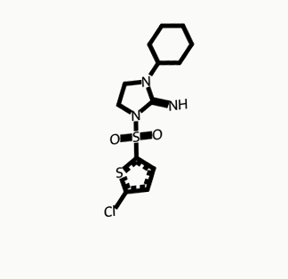 N=C1N(C2CCCCC2)CCN1S(=O)(=O)c1ccc(Cl)s1